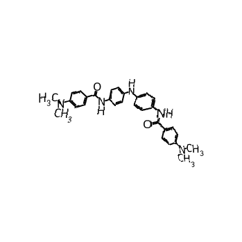 CN(C)c1ccc(C(=O)Nc2ccc(Nc3ccc(NC(=O)c4ccc(N(C)C)cc4)cc3)cc2)cc1